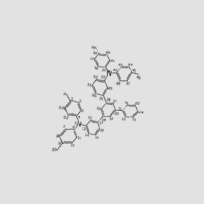 Cc1ccc(N(c2ccc(C)cc2)c2cccc(-c3cc(-c4ccccc4)cc(-c4cccc(N(c5ccc(C)cc5)c5ccc(C)cc5)c4)c3)c2)cc1